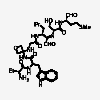 CC[C@H](N)C(=O)NC(Cc1c[nH]c2ccccc12)C(=O)NC1(NCC(=O)N[C@@H](CC(C)C)/C(C=O)=N\C(CO)C(=O)N[C@H](C=O)CCSC)COC1